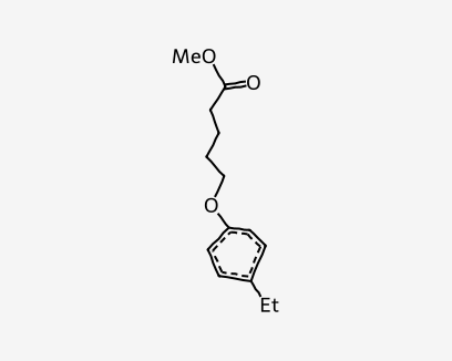 CCc1ccc(OCCCCC(=O)OC)cc1